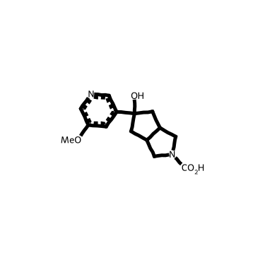 COc1cncc(C2(O)CC3CN(C(=O)O)CC3C2)c1